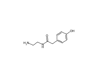 NCCNC(=O)Cc1ccc(O)cc1